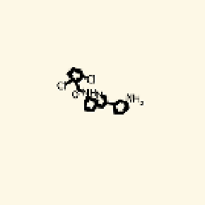 Nc1cccc(-c2cnc3c(NC(=O)c4c(Cl)cccc4Cl)cccc3c2)c1